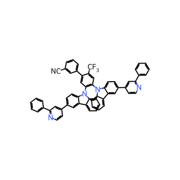 N#Cc1cccc(-c2cc(-n3c4ccccc4c4cc(-c5ccnc(-c6ccccc6)c5)ccc43)c(-n3c4ccccc4c4cc(-c5ccnc(-c6ccccc6)c5)ccc43)cc2C(F)(F)F)c1